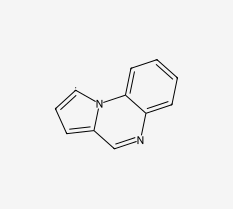 [c]1ccc2cnc3ccccc3n12